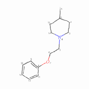 [CH2]C1CCN(CCOc2ccccc2)CC1